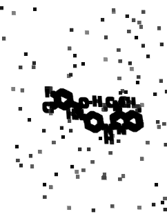 CN(C)c1cc(NC2CCC(NC(=O)c3ccc(F)c(Cl)c3)CC2)nc2ccccc12